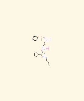 CCCCCN1CC(C(=O)NC[C@H](O)[C@H]2C[C@@H](Oc3ccccc3)CN2)C(C2CCCC2)C1=O